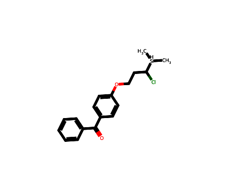 C[SiH](C)C(Cl)CCOc1ccc(C(=O)c2ccccc2)cc1